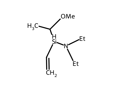 C=C[SiH](C(C)OC)N(CC)CC